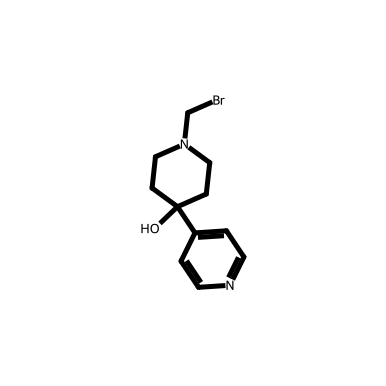 OC1(c2ccncc2)CCN(CBr)CC1